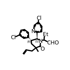 C=CCC1(C)C[C@H](c2cccc(Cl)c2)[C@@H](c2ccc(Cl)cn2)N(C(C=O)CC)C1=O